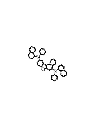 c1ccc(N(c2ccc3oc4cc(N(c5ccccc5)c5cccc6ccccc56)c5ccccc5c4c3c2)c2cccc3ccccc23)cc1